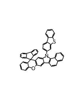 c1ccc2c(c1)Oc1cc3c4ccc5ccccc5c4n(-c4ccc5c(c4)sc4ccccc45)c3cc1C21c2ccccc2-c2ccccc21